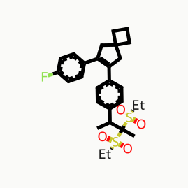 CCS(=O)(=O)C(C)(C(C)c1ccc(C2=C(c3ccc(F)cc3)CC3(CCC3)C2)cc1)S(=O)(=O)CC